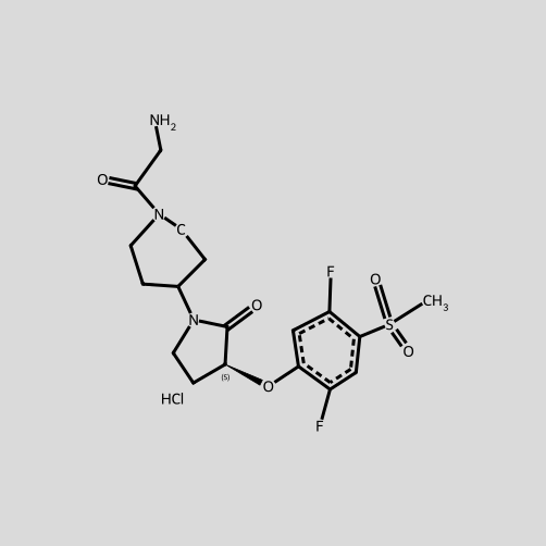 CS(=O)(=O)c1cc(F)c(O[C@H]2CCN(C3CCN(C(=O)CN)CC3)C2=O)cc1F.Cl